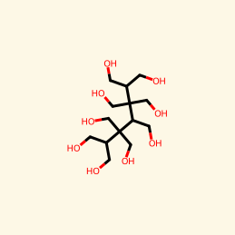 OCC(CO)C(CO)(CO)C(CO)C(CO)(CO)C(CO)CO